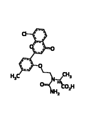 Cc1ccc(-c2cc(=O)c3cccc(Cl)c3o2)c(OCCN(C(N)=O)[C@@H](C)C(=O)O)c1